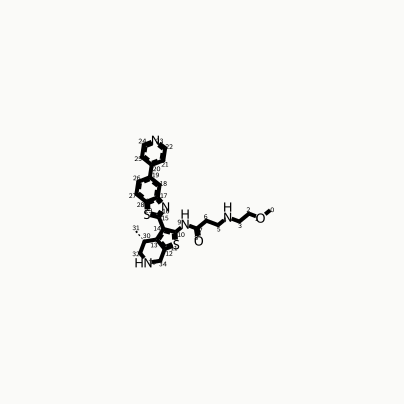 COCCNCCC(=O)Nc1sc2c(c1-c1nc3cc(-c4ccncc4)ccc3s1)[C@@H](C)CNC2